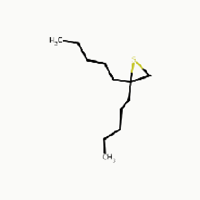 CCCCCC1(CCCCC)CS1